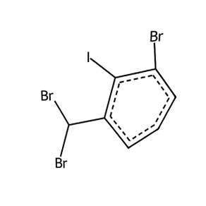 Brc1cccc(C(Br)Br)c1I